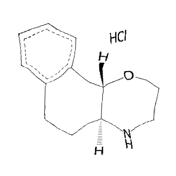 Cl.c1ccc2c(c1)CC[C@@H]1NCCO[C@@H]21